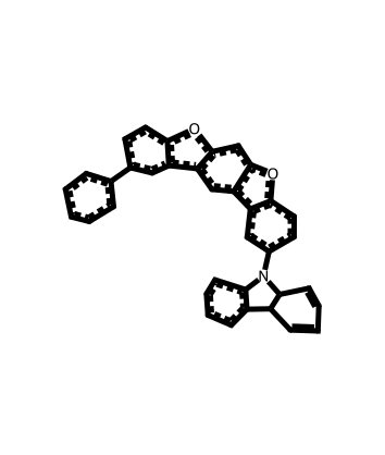 C1=CC2c3ccccc3N(c3ccc4oc5cc6oc7ccc(-c8ccccc8)cc7c6cc5c4c3)C2C=C1